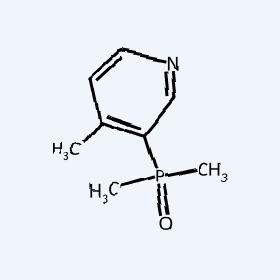 Cc1ccncc1P(C)(C)=O